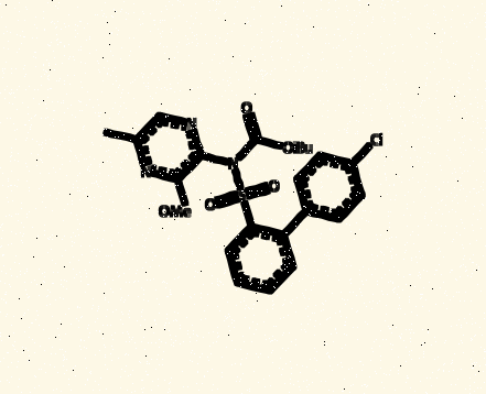 COc1nc(C)cnc1N(C(=O)OCC(C)C)S(=O)(=O)c1ccccc1-c1ccc(Cl)cc1